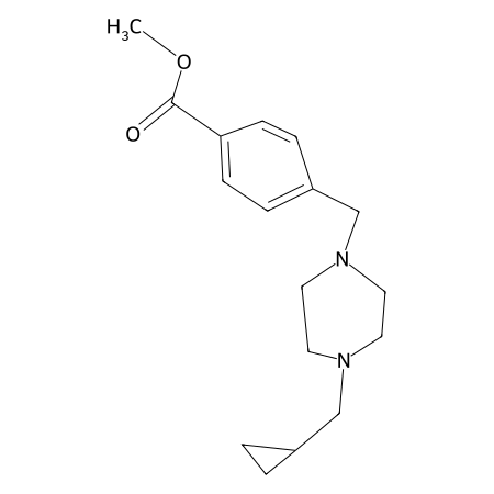 COC(=O)c1ccc(CN2CCN(CC3CC3)CC2)cc1